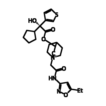 CCc1cc(NC(=O)C[N+]23CCC(CC2)C(OC(=O)[C@](O)(c2ccsc2)C2CCCC2)C3)no1